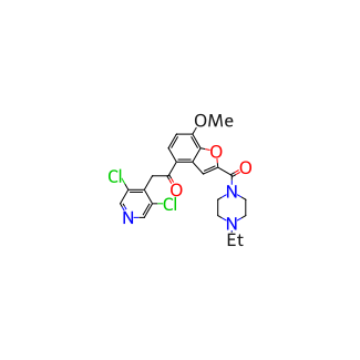 CCN1CCN(C(=O)c2cc3c(C(=O)Cc4c(Cl)cncc4Cl)ccc(OC)c3o2)CC1